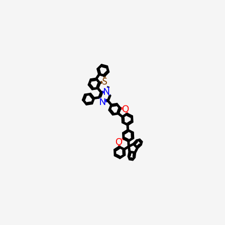 CN1CC(c2ccc3c(c2)oc2ccc(-c4ccc5c(c4)Oc4ccccc4C54c5ccccc5-c5ccccc54)cc23)=NC(c2ccccc2)=C1c1cccc2c1sc1ccccc12